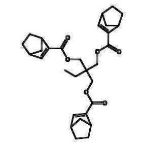 CCC(COC(=O)C1=CC2CCC1C2)(COC(=O)C1=CC2CCC1C2)COC(=O)C1=CC2CCC1C2